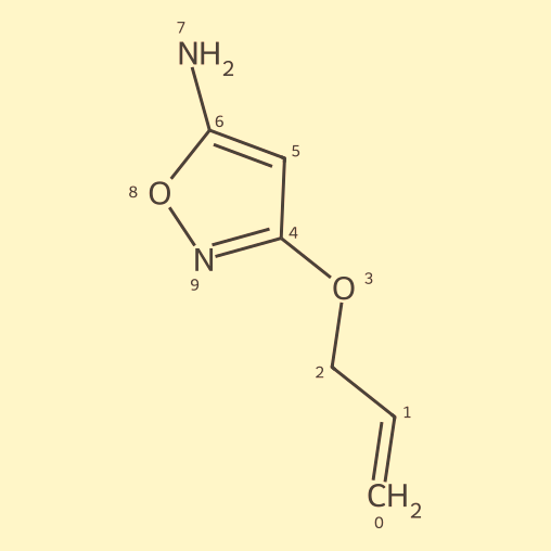 C=CCOc1cc(N)on1